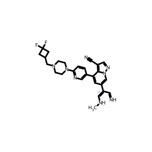 CN/C=C(\C=N)c1cc(-c2ccc(N3CCN(CC4CC(F)(F)C4)CC3)nc2)c2c(C#N)cnn2c1